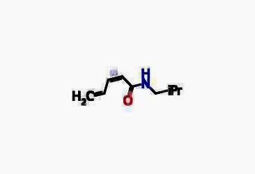 C=C/C=C\C(=O)NCC(C)C